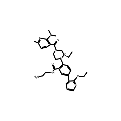 CCOc1ncccc1-c1ccc(N2CCN(C(=O)c3ccc(C)nc3N(C)C)C[C@H]2CC)c(C(=O)NCCN)c1